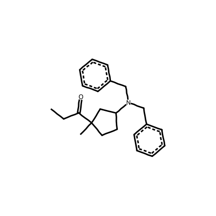 CCC(=O)C1(C)CCC(N(Cc2ccccc2)Cc2ccccc2)C1